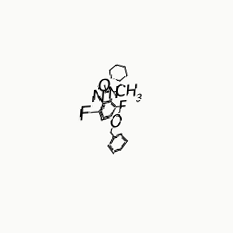 Cn1c(OC2CCCCC2)nc2c(F)cc(OCc3ccccc3)c(F)c21